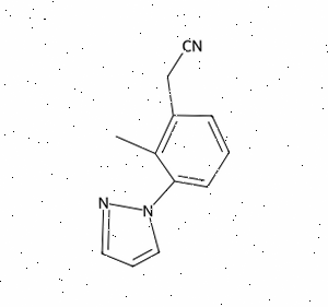 Cc1c(CC#N)cccc1-n1cccn1